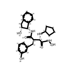 O=C(NO)[C@@H](NC1CCCC1)[C@@H](Cc1cccc(O)c1)C(=O)N[C@H]1c2ccccc2C[C@H]1O